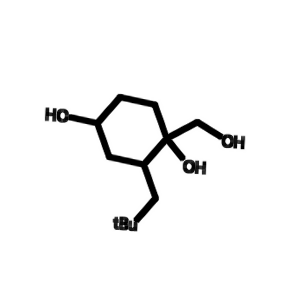 CC(C)(C)CC1CC(O)CCC1(O)CO